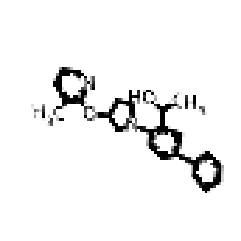 Cc1cccnc1OC1CCN(c2ccc(-c3ccccc3)cc2C(C)O)C1